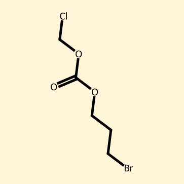 O=C(OCCl)OCCCBr